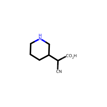 N#CC(C(=O)O)C1CCCNC1